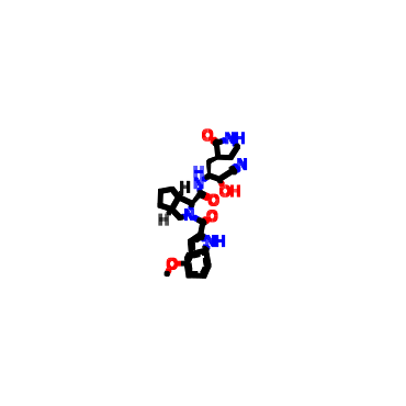 COc1cccc2[nH]c(C(=O)N3C[C@@H]4CCC[C@@H]4[C@H]3C(=O)N[C@@H](C[C@@H]3CCNC3=O)C(O)C#N)cc12